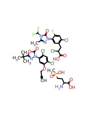 C#CCOc1cc(-n2nc(C(C)(C)C)oc2=O)c(Cl)cc1Cl.CP(=O)(O)CCC(N)C(=O)O.Cc1nn(-c2cc(CC(Cl)C(=O)O)c(Cl)cc2F)c(=O)n1C(F)F